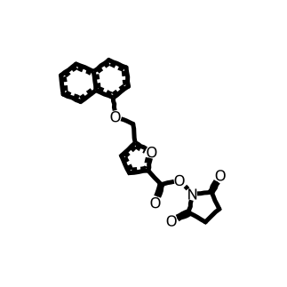 O=C(ON1C(=O)CCC1=O)c1ccc(COc2cccc3ccccc23)o1